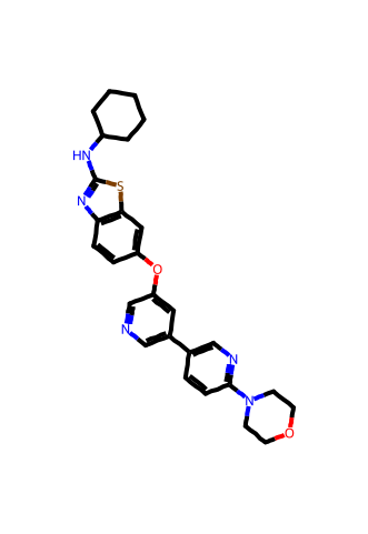 c1cc2nc(NC3CCCCC3)sc2cc1Oc1cncc(-c2ccc(N3CCOCC3)nc2)c1